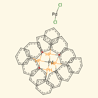 [Cl][Pd][Cl].c1ccc([PH](c2ccccc2)(c2ccccc2)[Pd]([PH](c2ccccc2)(c2ccccc2)c2ccccc2)([PH](c2ccccc2)(c2ccccc2)c2ccccc2)[PH](c2ccccc2)(c2ccccc2)c2ccccc2)cc1